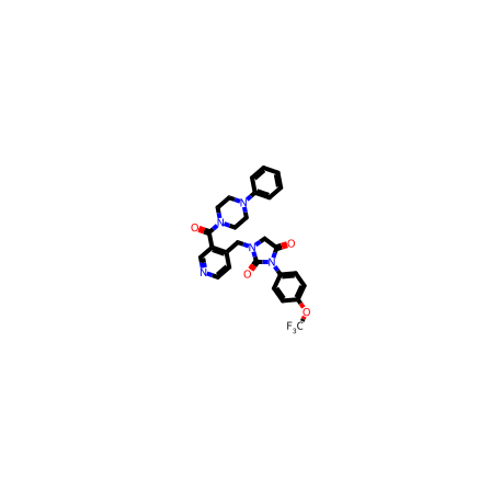 O=C(c1cnccc1CN1CC(=O)N(c2ccc(OC(F)(F)F)cc2)C1=O)N1CCN(c2ccccc2)CC1